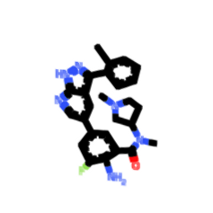 Cc1ccccc1-c1n[nH]c2ncc(-c3cc(F)c(N)c(C(=O)N(C)C4CCN(C)C4)c3)cc12